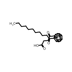 CCCCCCCCCCC(=O)[C]12[CH]3[CH]4[CH]5[CH]1[Fe]45321678[CH]2[CH]1[CH]6[C]7(C(=O)CCC(=O)O)[CH]28